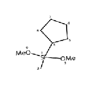 CO[Si](C)(OC)C1CCCC1